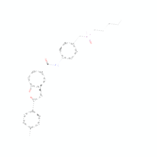 CCCCC[PH](=O)Cc1ccc(NC(=O)c2ccc3oc(-c4ccc(C)cc4)cc3c2)cc1